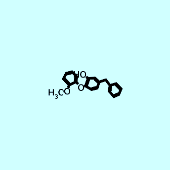 COc1ccccc1Oc1ccc(Cc2ccccc2)cc1O